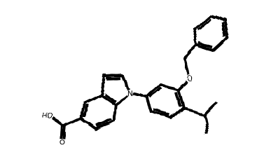 CC(C)c1ccc(-n2ccc3cc(C(=O)O)ccc32)cc1OCc1ccccc1